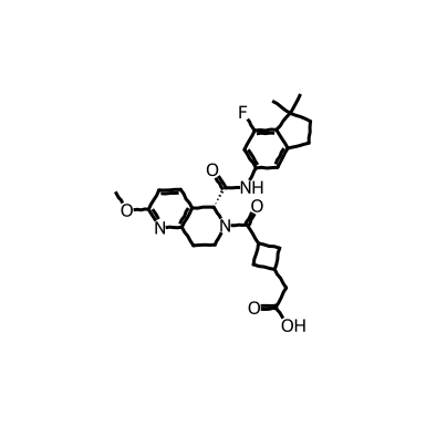 COc1ccc2c(n1)CCN(C(=O)C1CC(CC(=O)O)C1)[C@H]2C(=O)Nc1cc(F)c2c(c1)CCC2(C)C